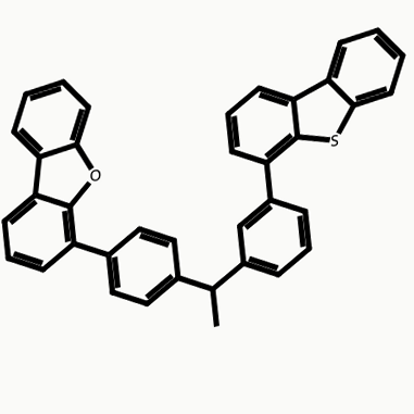 CC(c1ccc(-c2cccc3c2oc2ccccc23)cc1)c1cccc(-c2cccc3c2sc2ccccc23)c1